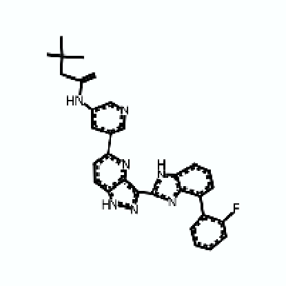 C=C(CC(C)(C)C)Nc1cncc(-c2ccc3[nH]nc(-c4nc5c(-c6ccccc6F)cccc5[nH]4)c3n2)c1